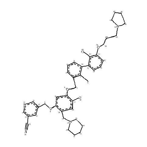 Cc1c(COc2cc(OCc3cncc(C#N)c3)c(CN3CCCCC3)cc2Cl)cccc1-c1cccc(OCCCN2CCCC2)c1Cl